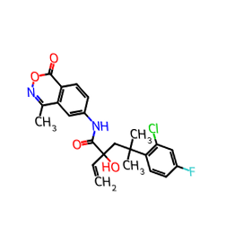 C=CC(O)(CC(C)(C)c1ccc(F)cc1Cl)C(=O)Nc1ccc2c(=O)onc(C)c2c1